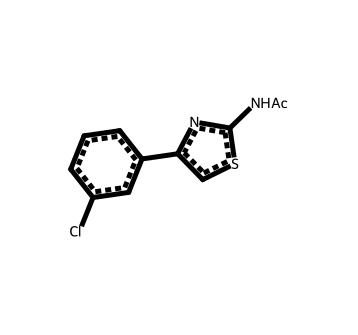 CC(=O)Nc1nc(-c2cccc(Cl)c2)cs1